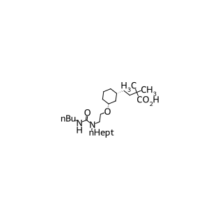 CCCCCCCN(CCO[C@@H]1CCC[C@H](CCC(C)(C)C(=O)O)C1)C(=O)NCCCC